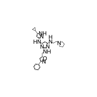 c1ccc(-c2cc(CNc3nc(NCCN4CCCC4)cc(Nc4cc(C5CC5)[nH]n4)n3)on2)cc1